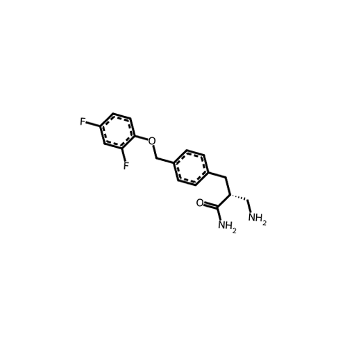 NC[C@@H](Cc1ccc(COc2ccc(F)cc2F)cc1)C(N)=O